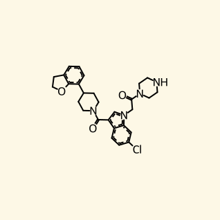 O=C(Cn1cc(C(=O)N2CCC(c3cccc4c3OCC4)CC2)c2ccc(Cl)cc21)N1CCNCC1